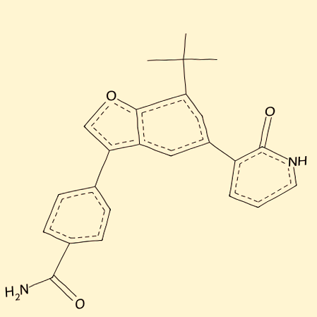 CC(C)(C)c1cc(-c2ccc[nH]c2=O)cc2c(-c3ccc(C(N)=O)cc3)coc12